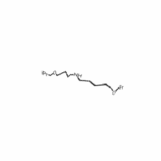 CC(C)OCCCCNCCCOC(C)C